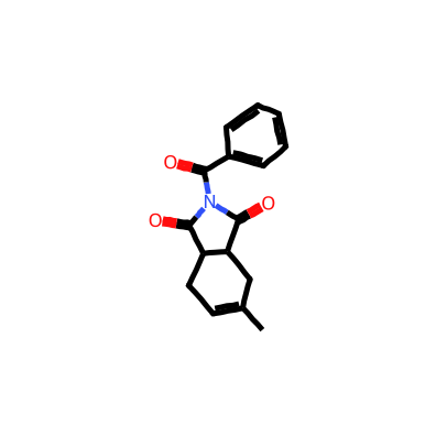 CC1=CCC2C(=O)N(C(=O)c3ccccc3)C(=O)C2C1